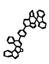 c1ccc2c(c1)-c1ccccc1C21c2ccccc2-c2ccc(-c3ccc(-c4cc5oc6ccc7ccccc7c6c5c5ccccc45)cc3)c3cccc1c23